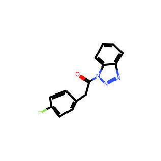 O=C(Cc1ccc(F)cc1)n1nnc2ccccc21